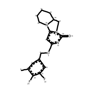 Cc1cc(COc2cc3n(c(=O)n2)CC2CCCCN32)cc(F)c1F